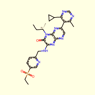 CC[C@H](C)n1c(=O)c(NCc2ccc(S(=O)(=O)CC)cn2)nc2ncc(-c3c(C)ncnc3C3CC3)nc21